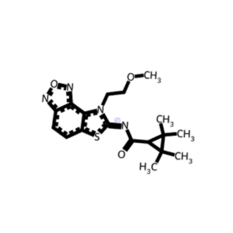 COCCn1/c(=N/C(=O)C2C(C)(C)C2(C)C)sc2ccc3nonc3c21